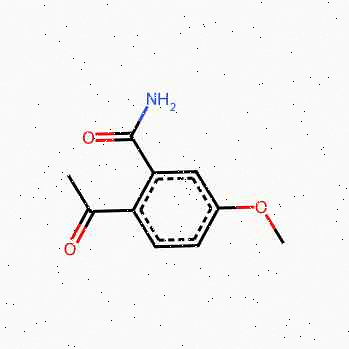 COc1ccc(C(C)=O)c(C(N)=O)c1